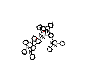 Cc1ccc2c(c1)c1cc(C)ccc1n2-c1ccc(-c2cc(-c3ccccc3)nc(-c3ccccc3)n2)cc1-c1nc(-c2ccccc2)nc(-c2ccc(-c3ccc4c5c3N(c3ccccc3)c3ccccc3B5c3ccccc3N4c3ccccc3)cc2)n1